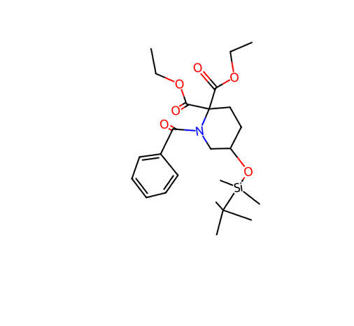 CCOC(=O)C1(C(=O)OCC)CCC(O[Si](C)(C)C(C)(C)C)CN1C(=O)c1ccccc1